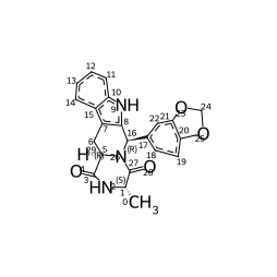 C[C@@H]1NC(=O)[C@H]2Cc3c([nH]c4ccccc34)[C@@H](c3ccc4c(c3)OCO4)N2C1=O